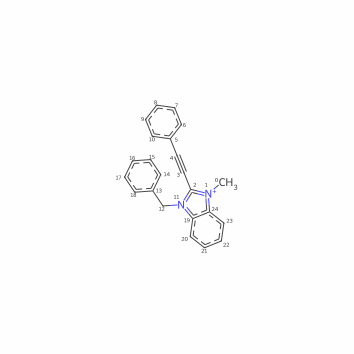 C[n+]1c(C#Cc2ccccc2)n(Cc2ccccc2)c2ccccc21